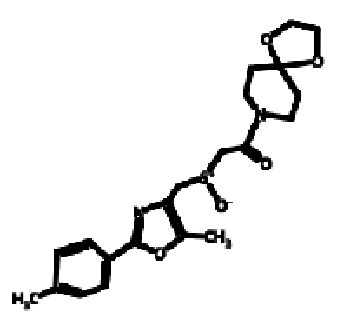 Cc1ccc(-c2nc(C[S+]([O-])CC(=O)N3CCC4(CC3)OCCO4)c(C)o2)cc1